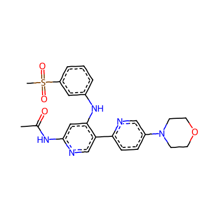 CC(=O)Nc1cc(Nc2cccc(S(C)(=O)=O)c2)c(-c2ccc(N3CCOCC3)cn2)cn1